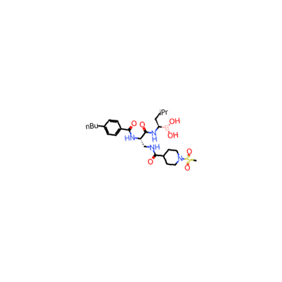 CCCCc1ccc(C(=O)N[C@@H](CNC(=O)C2CCN(S(C)(=O)=O)CC2)C(=O)N[C@@H](CC(C)C)B(O)O)cc1